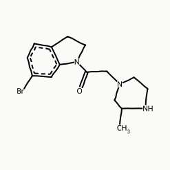 CC1CN(CC(=O)N2CCc3ccc(Br)cc32)CCN1